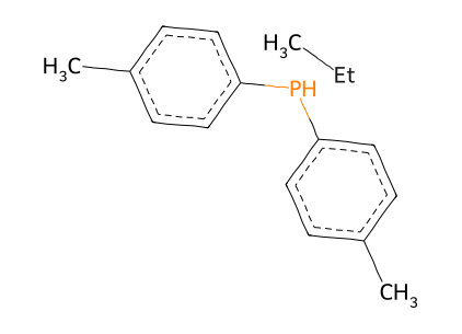 CCC.Cc1ccc(Pc2ccc(C)cc2)cc1